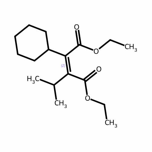 CCOC(=O)/C(=C(\C(=O)OCC)C1CCCCC1)C(C)C